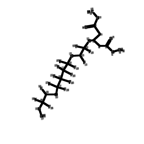 COC(=O)CC(CC(=O)OC)OC(F)(F)C(F)OC(F)(F)C(F)(F)C(F)(F)C(F)(F)OC(F)C(F)(F)OO